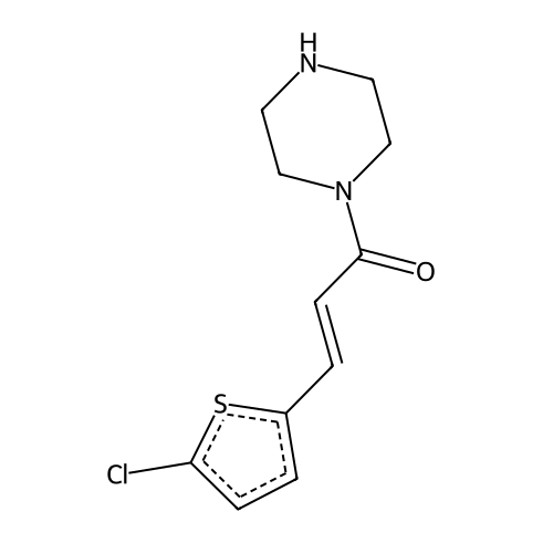 O=C(C=Cc1ccc(Cl)s1)N1CCNCC1